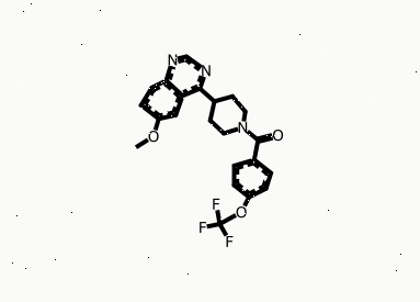 COc1ccc2ncnc(C3CCN(C(=O)c4ccc(OC(F)(F)F)cc4)CC3)c2c1